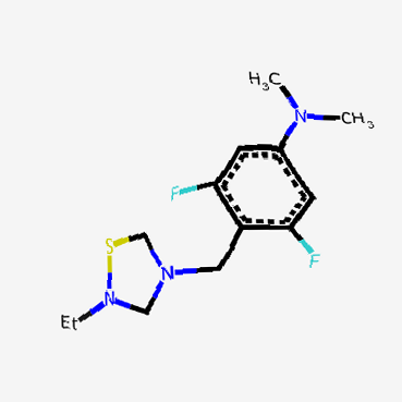 CCN1CN(Cc2c(F)cc(N(C)C)cc2F)CS1